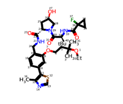 CCOC(C)(C)CCOc1cc(-c2scnc2C)ccc1CNC(=O)[C@@H]1C[C@@H](O)CN1C(=O)[C@@H](NC(=O)C1(F)CC1)C(C)(C)C